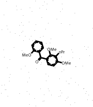 CCCc1c(OC)ccc(C(=O)c2ccccc2OC)c1OC